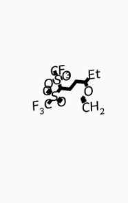 C=COC(CC)CCC(S(=O)(=O)C(F)(F)F)S(=O)(=O)C(F)(F)F